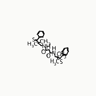 CC(C)(CNC(=O)CC(=O)NCC(C)(C)C(=S)c1ccccc1)C(=S)c1ccccc1